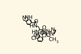 CCCC(Nc1ncc[nH]1)OC(=O)C(CNC(=O)c1ccc2cn[nH]c2c1)NS(=O)(=O)c1c(Cl)cccc1Cl